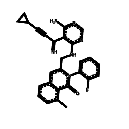 Cc1cccc2cc(CNc3ncnc(N)c3C(=N)C#CC3CC3)n(-c3ccccc3F)c(=O)c12